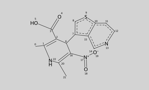 CC1=C(C(=O)O)C(c2csc3ccncc23)C([N+](=O)[O-])=C(C)N1